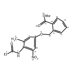 CCC(=O)Nc1c(C)cc(OCc2ccccc2C(=O)OC)cc1[N+](=O)[O-]